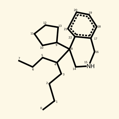 CCCCC(CCC)C1(C2CCCC2)CNCc2ccccc21